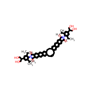 CC(C)c1cc(C(CO)CO)cc(C(C)C)c1N1C(=O)c2cc3cc4cc5c(cc4cc3cc2C1=O)CCc1cc2cc3cc4c(cc3cc2cc1CC#CC5)C(=O)N(c1c(C(C)C)cc(C(CO)CO)cc1C(C)C)C4=O